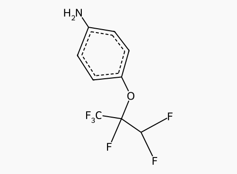 Nc1ccc(OC(F)(C(F)F)C(F)(F)F)cc1